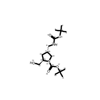 CC(C)(C)OC(=O)NC[C@H]1C[C@H](CO)N(C(=O)OC(C)(C)C)C1